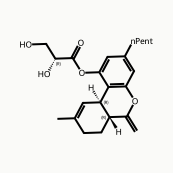 C=C1Oc2cc(CCCCC)cc(OC(=O)[C@H](O)CO)c2[C@@H]2C=C(C)CC[C@@H]12